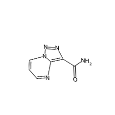 NC(=O)c1nnn2cccnc12